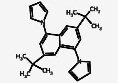 CC(C)(C)c1cc(-n2cccc2)c2cc(C(C)(C)C)cc(-n3cccc3)c2c1